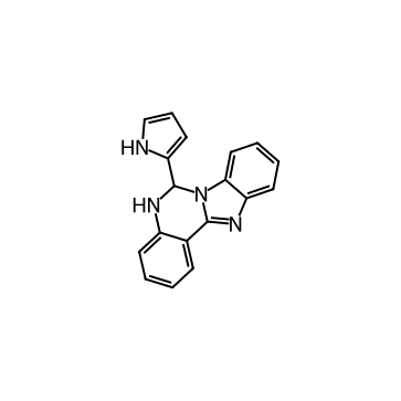 c1c[nH]c(C2Nc3ccccc3-c3nc4ccccc4n32)c1